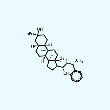 CCC[C@@]1(O)CC[C@H]2[C@H](CC[C@@H]3[C@@H]2CC[C@]2(C)[C@@H]([C@@H](C)N[C@H](C)c4ccccc4)CC[C@@H]32)C1